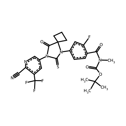 CN(C(=O)OC(C)(C)C)C(=O)c1ccc(N2C(=S)N(c3cnc(C#N)c(C(F)(F)F)c3)C(=O)C23CCC3)cc1F